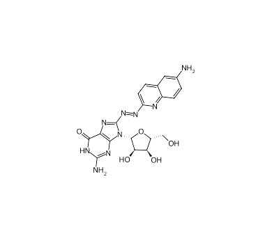 Nc1ccc2nc(/N=N/c3nc4c(=O)[nH]c(N)nc4n3[C@@H]3O[C@H](CO)[C@@H](O)[C@H]3O)ccc2c1